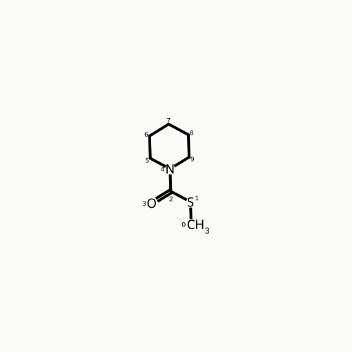 CSC(=O)N1CCCCC1